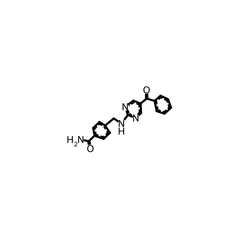 NC(=O)c1ccc(CNc2ncc(C(=O)c3ccccc3)cn2)cc1